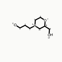 [O]CCCN1CCOC(CO)C1